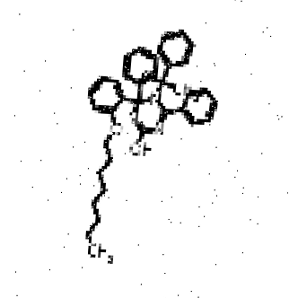 CCCCCCCCOc1ccccc1C1(c2ccccc2)N=C(O)N=C(c2ccccc2)N1C(C)(C)c1ccccc1